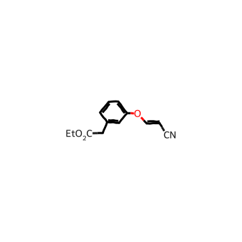 CCOC(=O)Cc1cccc(OC=CC#N)c1